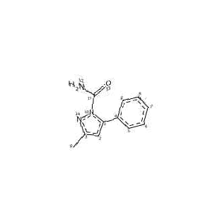 Cc1[c]c(-c2ccccc2)n(C(N)=O)n1